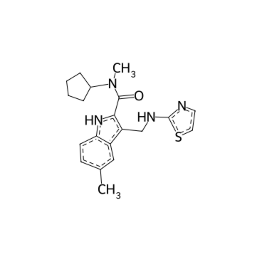 Cc1ccc2[nH]c(C(=O)N(C)C3CCCC3)c(CNc3nccs3)c2c1